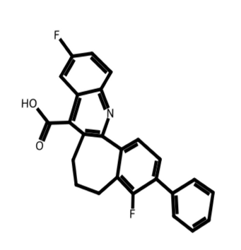 O=C(O)c1c2c(nc3ccc(F)cc13)-c1ccc(-c3ccccc3)c(F)c1CCC2